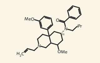 C=CCN1CCC2(c3cccc(OC)c3)C[C@H](N(CC(C)C)C(=O)c3ccccc3)CC(OC)C2C1